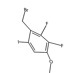 COc1cc(I)c(CBr)c(F)c1F